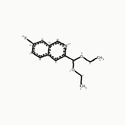 CCOC(OCC)c1cc2ccc(F)cc2cn1